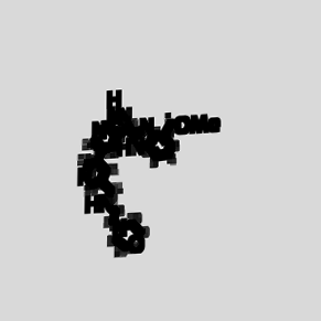 COCc1cccc2[nH]c(-c3n[nH]c4ncc(-c5cncc(CNCCN6CCOCC6)c5)cc34)nc12